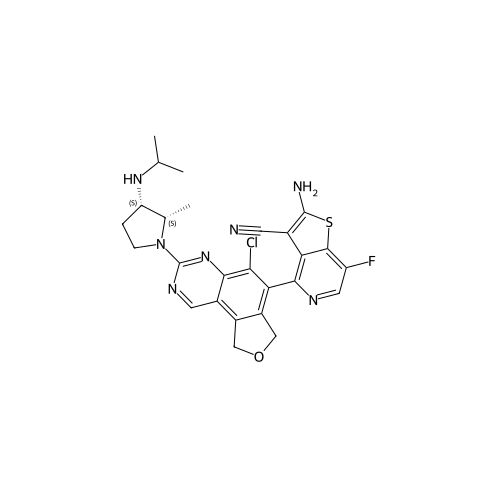 CC(C)N[C@H]1CCN(c2ncc3c4c(c(-c5ncc(F)c6sc(N)c(C#N)c56)c(Cl)c3n2)COC4)[C@H]1C